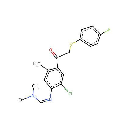 CCN(C)/C=N\c1cc(C)c(C(=O)CSc2ccc(F)cc2)cc1Cl